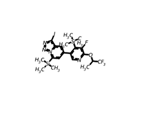 CC(Oc1ncc(-c2cc([Si](C)(C)C)n3nnc(I)c3c2)c([Si](C)(C)C)c1F)C(F)(F)F